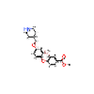 COC(=O)c1ccc(Oc2ccc(OCC3CCNCC3)cc2)c(Br)c1